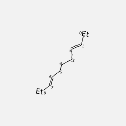 CCC=C[CH]CCC=CCC